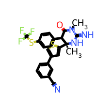 CN1C(=N)N[C@](C)(c2cc(-c3cccc(C#N)c3)cs2)C(c2ccc(SC(F)(F)F)cc2)C1=O